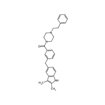 Cc1[nH]c2ccc(Cc3cccc(C(=O)N4CCN(CCc5ccccc5)CC4)c3)cc2c1C